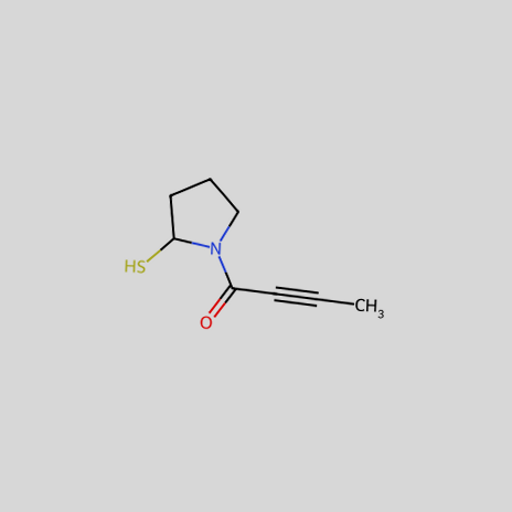 CC#CC(=O)N1CCCC1S